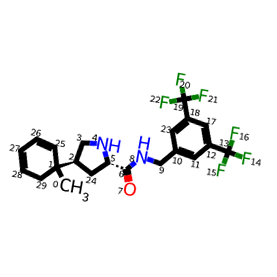 CC1([C@H]2CN[C@H](C(=O)NCc3cc(C(F)(F)F)cc(C(F)(F)F)c3)C2)C=CC=CC1